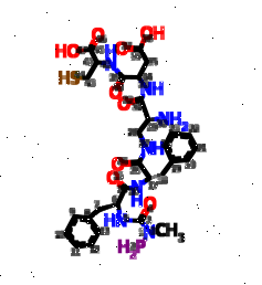 CN(P)C(=O)N[C@@H](Cc1ccccc1)C(=O)N[C@@H](Cc1ccccc1)C(=O)NC[C@H](N)C(=O)NC(CC(=O)O)C(=O)NC(CS)C(=O)O